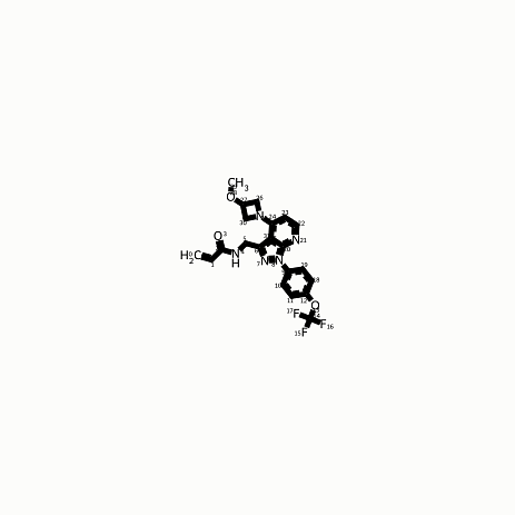 C=CC(=O)NCc1nn(-c2ccc(OC(F)(F)F)cc2)c2nccc(N3CC(OC)C3)c12